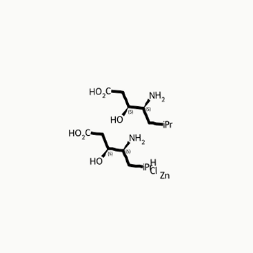 CC(C)C[C@H](N)[C@@H](O)CC(=O)O.CC(C)C[C@H](N)[C@@H](O)CC(=O)O.Cl.[Zn]